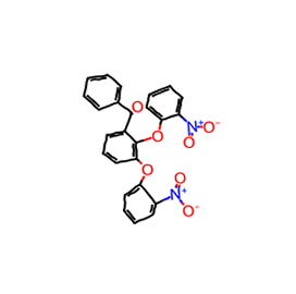 O=C(c1ccccc1)c1cccc(Oc2ccccc2[N+](=O)[O-])c1Oc1ccccc1[N+](=O)[O-]